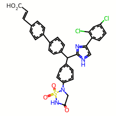 O=C(O)C=Cc1ccc(-c2ccc(C(c3ccc(N4CC(=O)NS4(=O)=O)cc3)c3nc(-c4ccc(Cl)cc4Cl)c[nH]3)cc2)cc1